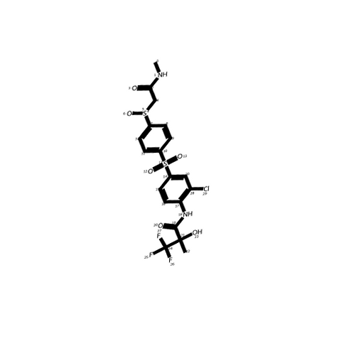 CNC(=O)C[S+]([O-])c1ccc(S(=O)(=O)c2ccc(NC(=O)C(C)(O)C(F)(F)F)c(Cl)c2)cc1